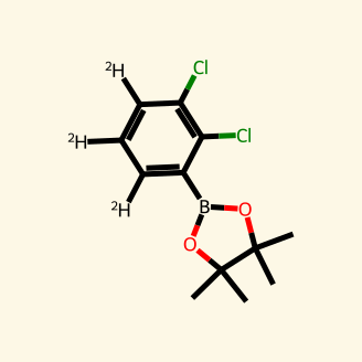 [2H]c1c([2H])c(Cl)c(Cl)c(B2OC(C)(C)C(C)(C)O2)c1[2H]